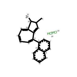 CC1C=C2C(c3cccc4ccccc34)=CC=CC=C2[CH]1[Zr].Cl.Cl